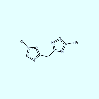 CCCn1nnc(Sc2ncc(Cl)s2)n1